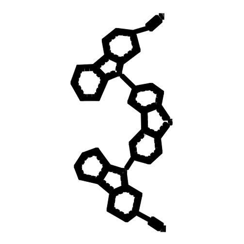 N#Cc1ccc2c3ccccc3n(-c3ccc4sc5ccc(-n6c7ccccc7c7ccc(C#N)cc76)cc5c4c3)c2c1